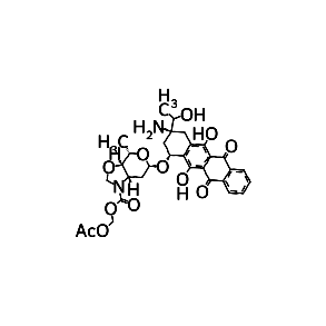 CC(=O)OCOC(=O)N1CO[C@@H]2[C@H](C)O[C@@H](O[C@H]3C[C@](N)(C(C)O)Cc4c(O)c5c(c(O)c43)C(=O)c3ccccc3C5=O)C[C@@H]21